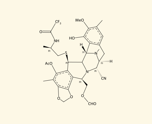 COc1c(C)cc2c(c1O)[C@H]1C3[C@H](SC[C@@H](C)NC(=O)C(F)(F)F)c4c(OC(C)=O)c(C)c5c(c4[C@H](COC=O)N3[C@@H](C#N)[C@H](C2)N1C)OCO5